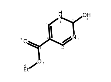 CCOC(=O)C1=CNC(O)N=C1